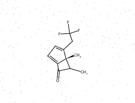 CC1C(=O)C2=CC=C(CC(F)(F)F)[C@@]21C